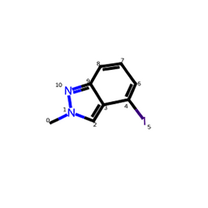 Cn1cc2c(I)cccc2n1